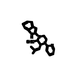 CC(C)=CC1C(C=O)N(c2cc3ccccc3[nH]2)CCN1c1ccccn1